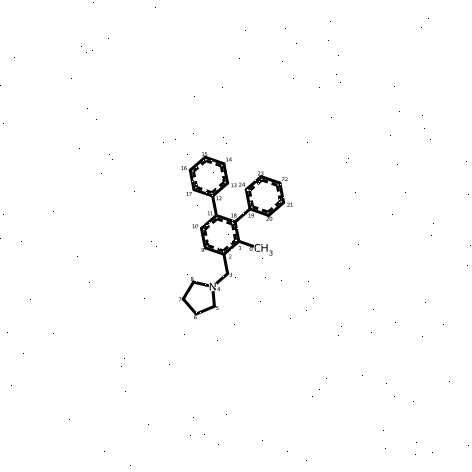 Cc1c(CN2CCCC2)ccc(-c2ccccc2)c1-c1ccccc1